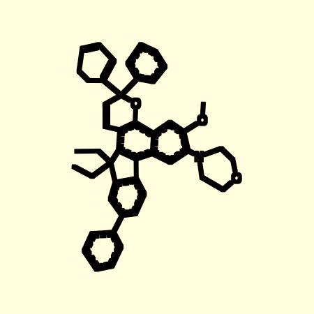 CCC1(CC)c2cc(-c3ccccc3)ccc2-c2c1c1c(c3cc(OC)c(N4CCOCC4)cc23)OC(C2=CC=CCC2)(c2ccccc2)C=C1